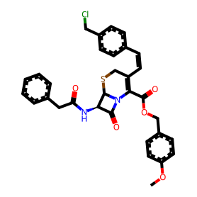 COc1ccc(COC(=O)C2=C(/C=C\c3ccc(CCl)cc3)CSC3[C@H](NC(=O)Cc4ccccc4)C(=O)N23)cc1